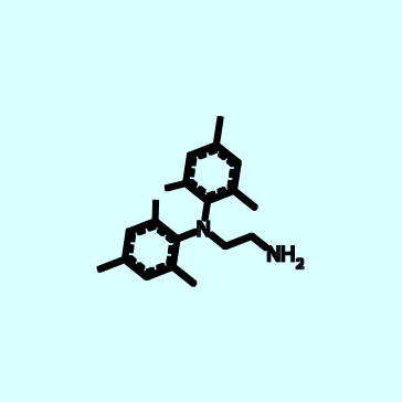 Cc1cc(C)c(N(CCN)c2c(C)cc(C)cc2C)c(C)c1